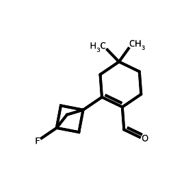 CC1(C)CCC(C=O)=C(C23CC(F)(C2)C3)C1